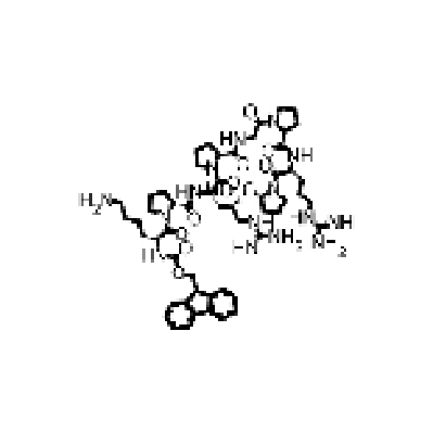 N=C(N)NCCC[C@H](NC(=O)[C@@H]1CCCN1C(=O)CNC(=O)[C@@H]1CCCN1C(=O)[C@H](CCCNC(=N)N)NC(=O)[C@@H]1CCCN1C(=O)[C@H](CCCCN)NC(=O)OCC1c2ccccc2-c2ccccc21)C(=O)N1CCC[C@H]1C(=O)O